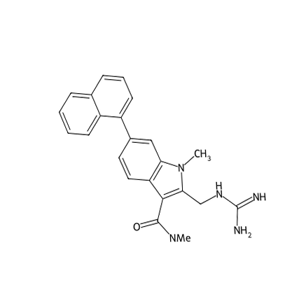 CNC(=O)c1c(CNC(=N)N)n(C)c2cc(-c3cccc4ccccc34)ccc12